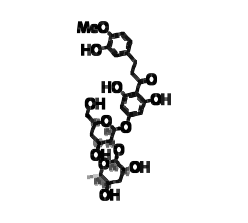 COc1ccc(CCC(=O)c2c(O)cc(O[C@@H]3O[C@H](CO)C[C@H](O)[C@H]3O[C@@H]3O[C@@H](C)[C@H](O)C[C@H]3O)cc2O)cc1O